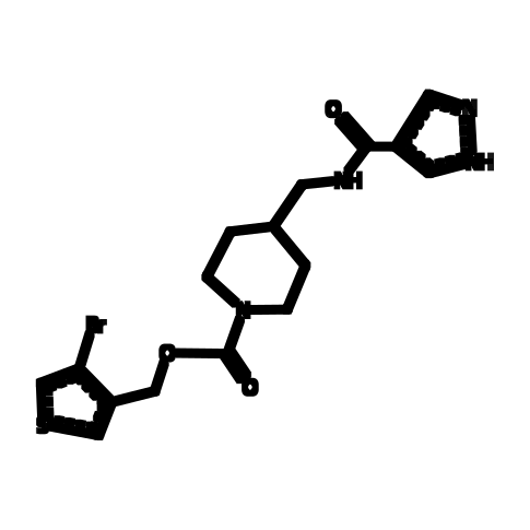 O=C(NCC1CCN(C(=O)OCc2cscc2Br)CC1)c1cn[nH]c1